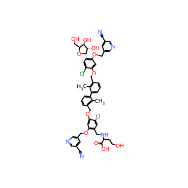 Cc1c(COc2cc(OCc3cncc(C#N)c3)c(CNC(CCO)C(=O)O)cc2Cl)cccc1-c1cccc(COc2cc(OCc3cncc(C#N)c3)c([C@@H]3OC(CO)[C@@H](O)[C@@H]3O)cc2Cl)c1C